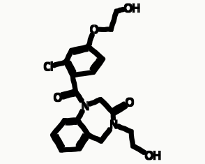 O=C1CN(C(=O)c2ccc(OCCO)cc2Cl)c2ccccc2CN1CCO